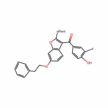 CCCCCc1oc2cc(OCCc3ccccc3)ccc2c1C(=O)c1ccc(O)c(I)c1